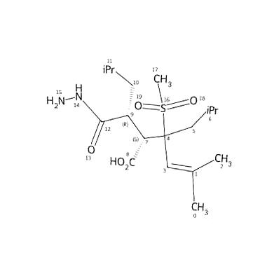 CC(C)=CC(CC(C)C)([C@H](C(=O)O)[C@@H](CC(C)C)C(=O)NN)S(C)(=O)=O